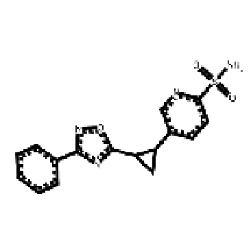 NS(=O)(=O)c1ccc(C2CC2c2nc(-c3ccccc3)no2)cn1